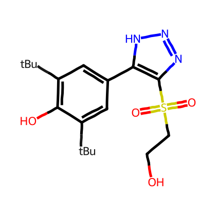 CC(C)(C)c1cc(-c2[nH]nnc2S(=O)(=O)CCO)cc(C(C)(C)C)c1O